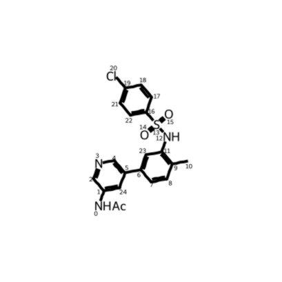 CC(=O)Nc1cncc(-c2ccc(C)c(NS(=O)(=O)c3ccc(Cl)cc3)c2)c1